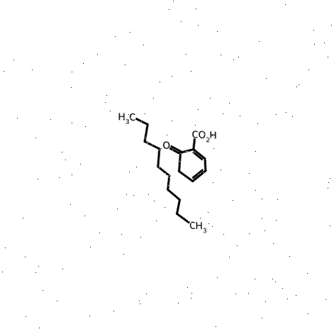 CCCCCCCCCC.O=C(O)C1=CC=CCC1=O